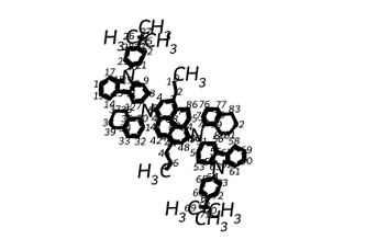 CCCc1cc(N(c2ccc3c(c2)c2ccccc2n3-c2ccc(C(C)(C)C)cc2)c2cccc3c2CCCC3)c2ccc3c(CCC)cc(N(c4ccc5c(c4)c4ccccc4n5-c4ccc(C(C)(C)C)cc4)c4cccc5c4CCCC5)c4ccc1c2c34